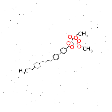 CCC[C@H]1CC[C@H](CCCCc2ccc(-c3ccc(C4O[C@@H](C(=O)OCC)[C@H](C(=O)OCC)O4)cc3)cc2)CC1